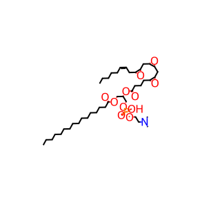 CCCCC/C=C\CC1OC1CC1OC1CC1OC1CCCC(=O)OC(COC(=O)CCCCCCCCCCCCCCC)COP(=O)(O)OCCN(C)C